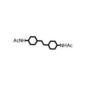 CC(=O)NC1CCC(CCC2CCC(NC(C)=O)CC2)CC1